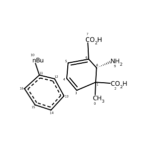 CC1(C(=O)O)C=CC=C(C(=O)O)[C@@H]1N.CCCCc1ccccc1